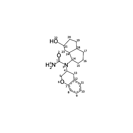 NC(=O)N(C1COc2ccccc2C1)C1CCCC2CCC(O)CC21